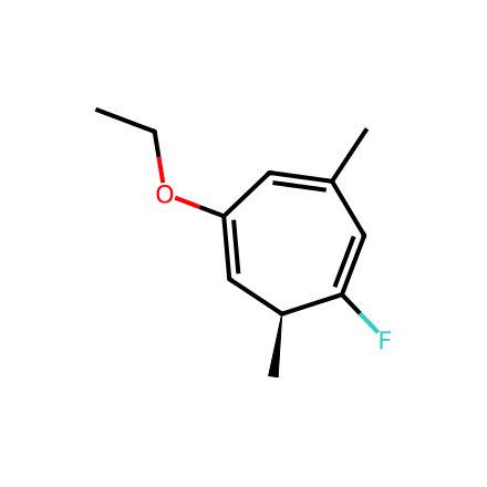 CCOC1=C[C@H](C)C(F)=CC(C)=C1